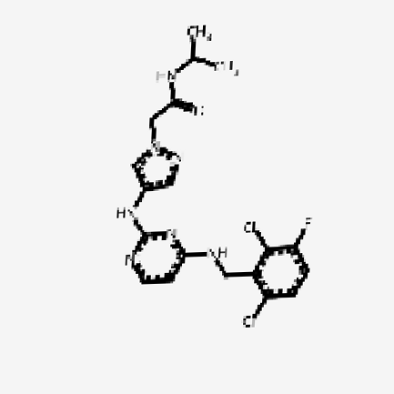 CC(C)NC(=O)Cn1cc(Nc2nccc(NCc3c(Cl)ccc(F)c3Cl)n2)cn1